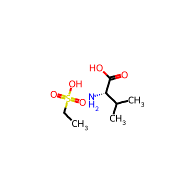 CC(C)[C@H](N)C(=O)O.CCS(=O)(=O)O